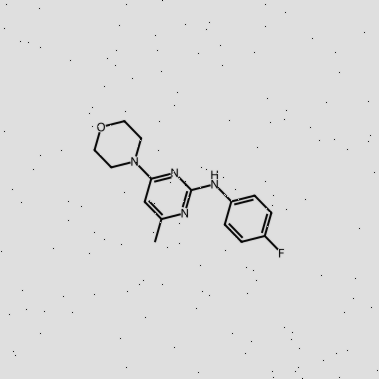 Cc1cc(N2CCOCC2)nc(Nc2ccc(F)cc2)n1